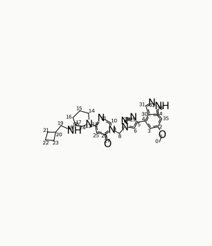 COc1cc(-c2cn(Cn3cnc(N4CCC[C@@H](NCC5CCC5)C4)cc3=O)nn2)c2cn[nH]c2c1